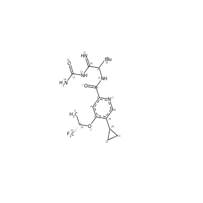 C[C@H](Oc1cc(C(=O)NC(C(=N)NC(N)=O)C(C)(C)C)ncc1C1CC1)C(F)(F)F